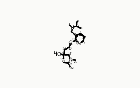 CC(C)N(C)Cc1cccnc1OCCC(C)(O)CN(C)C(C)C